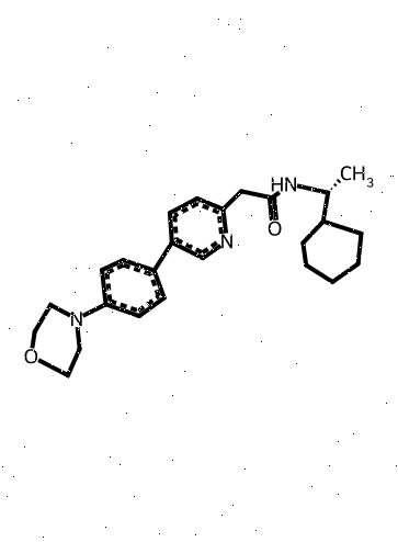 C[C@@H](NC(=O)Cc1ccc(-c2ccc(N3CCOCC3)cc2)cn1)C1CCCCC1